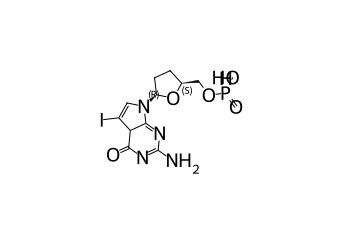 NC1=NC(=O)C2C(I)=CN([C@H]3CC[C@@H](CO[PH](=O)O)O3)C2=N1